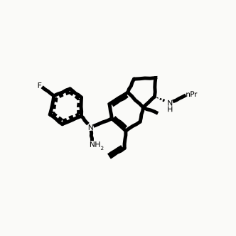 C=CC1=C(N(N)c2ccc(F)cc2)C=C2CC[C@H](NCCC)C2(C)C1